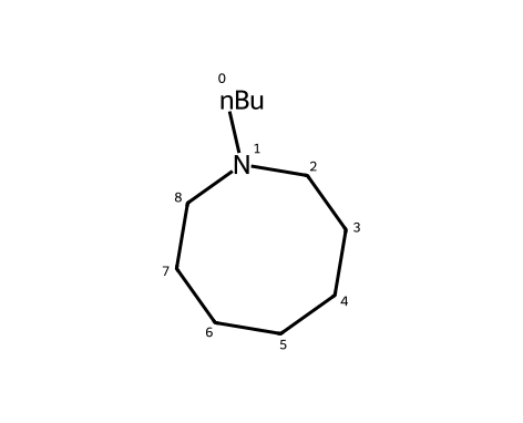 CCCCN1CCCCCCC1